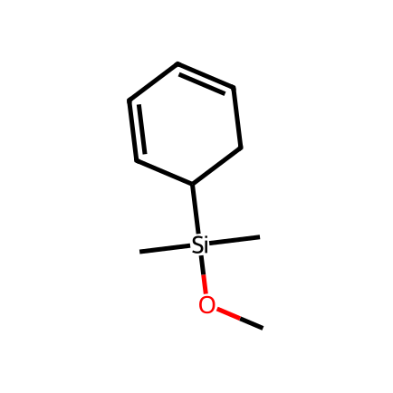 CO[Si](C)(C)C1C=CC=CC1